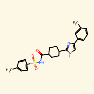 Cc1ccc(S(=O)(=O)NC(=O)C2CCC(c3nc(-c4cccc(C(F)(F)F)c4)c[nH]3)CC2)cc1